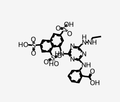 CCNNc1nc(Nc2ccccc2C(=O)O)nc(Nc2cc(S(=O)(=O)O)cc3cc(S(=O)(=O)O)cc(S(=O)(=O)O)c23)n1